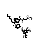 CCCCCCC(Oc1ccc(OCc2cc(C(F)(F)F)cc(C(F)(F)F)c2)cc1)c1ccc(C(=O)NCCC(=O)O)cc1